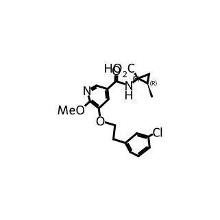 COc1ncc(C(=O)N[C@]2(C(=O)O)C[C@H]2C)cc1OCCc1cccc(Cl)c1